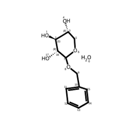 O.O[C@H]1[C@H](O)COC(OCc2ccccc2)[C@@H]1O